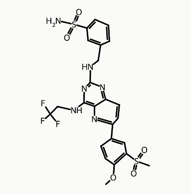 COc1ccc(-c2ccc3nc(NCc4cccc(S(N)(=O)=O)c4)nc(NCC(F)(F)F)c3n2)cc1S(C)(=O)=O